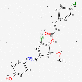 COc1cc(/C=N/c2ccc(O)cc2)cc(Br)c1OC(=O)C=Cc1ccc(Cl)cc1